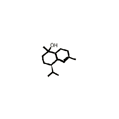 CC1=CC2C(CC1)C(C)(O)CC[C@@H]2C(C)C